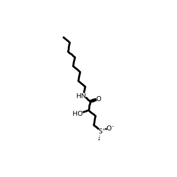 CCCCCCCCNC(=O)C(O)CC[S@@+](C)[O-]